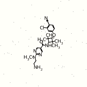 CN(CCN)c1ncc(C(=O)NC2C(C)(C)C(Oc3ccc(C#N)c(Cl)c3)C2(C)C)cn1